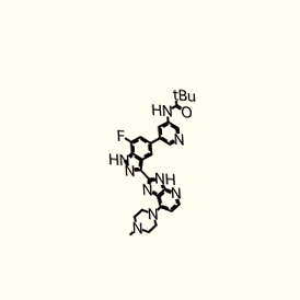 CN1CCN(c2ccnc3[nH]c(-c4n[nH]c5c(F)cc(-c6cncc(NC(=O)C(C)(C)C)c6)cc45)nc23)CC1